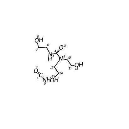 N=C=O.O=C(NCCO)N(CCO)CCO